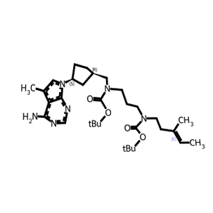 C/C=C(\C)CCN(CCCN(C[C@@H]1CC[C@H](n2cc(C)c3c(N)ncnc32)C1)C(=O)OC(C)(C)C)C(=O)OC(C)(C)C